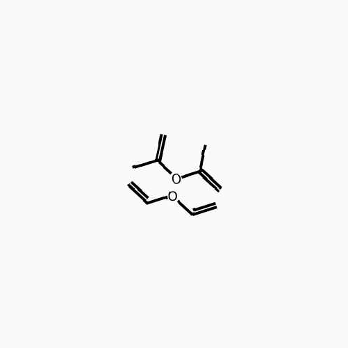 C=C(C)OC(=C)C.C=COC=C